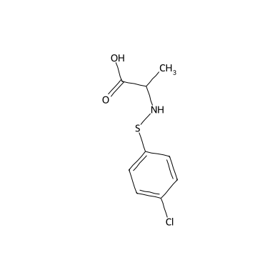 CC(NSc1ccc(Cl)cc1)C(=O)O